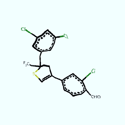 O=Cc1ccc(C2=CSC(c3cc(Cl)cc(Cl)c3)(C(F)(F)F)C2)cc1Cl